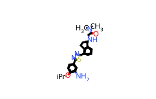 CC(C)Oc1ccc(-c2nnc(-c3cccc4c3CC[C@H]4NCC(=O)N(C)C)s2)cc1N